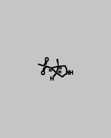 C[C@@]12CNC[C@@H]1[C@H]2S(C)(=O)=O